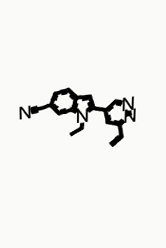 C=Cc1cc(-c2cc3ccc(C#N)cc3n2CC)cnn1